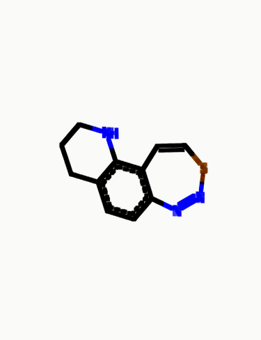 C1=Cc2c(ccc3c2NCCC3)N=NS1